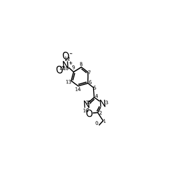 CCc1nc(Cc2ccc([N+](=O)[O-])cc2)no1